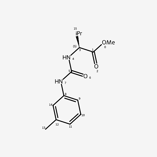 COC(=O)[C@@H](NC(=O)Nc1cccc(C)c1)C(C)C